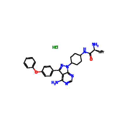 CCC[C@H](N)C(=O)NC1CCC(n2nc(-c3ccc(Oc4ccccc4)cc3)c3c(N)ncnc32)CC1.Cl